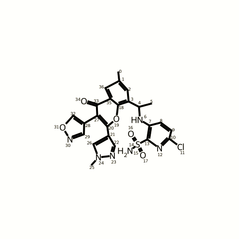 Cc1cc(C(C)Nc2ccc(Cl)nc2S(N)(=O)=O)c2oc(-c3cnn(C)c3)c(-c3cnoc3)c(=O)c2c1